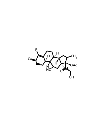 CC(=O)O[C@]1(C(=O)CO)C(C)C[C@H]2[C@@H]3CCC4=C(F)C(=O)C=C[C@]4(C)[C@H]3C(O)C[C@@]21C